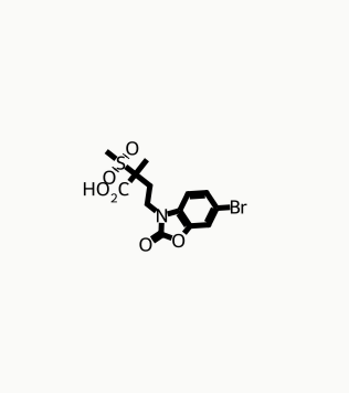 CC(CCn1c(=O)oc2cc(Br)ccc21)(C(=O)O)S(C)(=O)=O